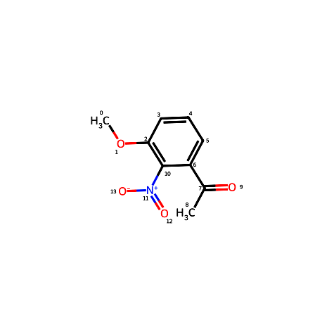 COc1cccc(C(C)=O)c1[N+](=O)[O-]